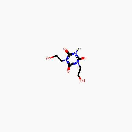 CCn1c(=O)n(CCO)c(=O)n(CCO)c1=O